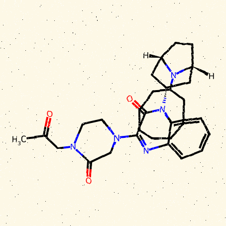 CC(=O)CN1CCN(c2nc3ccccc3n([C@H]3C[C@H]4CC[C@@H](C3)N4C3CCCCCCC3)c2=O)CC1=O